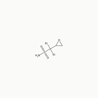 CCC(CC)(C1CO1)S(N)(=O)=O